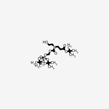 CC(C)(C)OC(=O)CCN(CCO)C(=O)OCOP(=O)(OC(C)(C)C)OC(C)(C)C